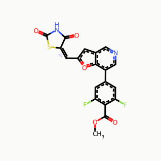 COC(=O)c1c(F)cc(-c2cncc3cc(/C=C4/SC(=O)NC4=O)oc23)cc1F